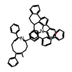 C/C1=C(\c2ccccc2)CC/C=C(c2ccccc2)\N=C(\c2ccc(-n3c4ccccc4c4ccc5c(c43)C(c3cccc(-c4cccc(-c6ccccc6)c4)c3)CCc3ccccc3-5)cc2)CC1